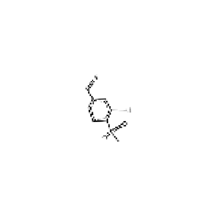 CS(=O)(=O)c1ccc(N=S)cc1Cl